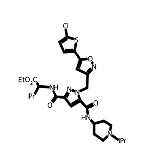 CCOC(=O)C(NC(=O)c1cc(C(=O)NC2CCN(C(C)C)CC2)n(Cc2cc(-c3ccc(Cl)s3)on2)n1)C(C)C